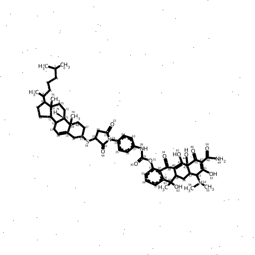 CC(C)CCCC(C)C1CCC2C3CC=C4CC(SC5CC(=O)N(c6ccc(NC(=O)Oc7cccc8c7C(=O)C7=C(O)C9(O)C(=O)C(C(N)=O)=C(O)C(N(C)C)C9CC7C8(C)O)cc6)C5=O)CCC4(C)[C@H]3CCC12C